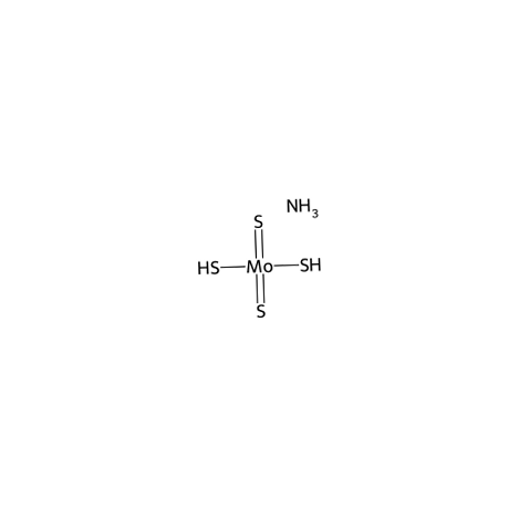 N.[S]=[Mo](=[S])([SH])[SH]